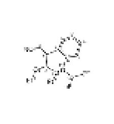 CCOC(OCC)C(CC#N)c1ccccc1OC(F)F